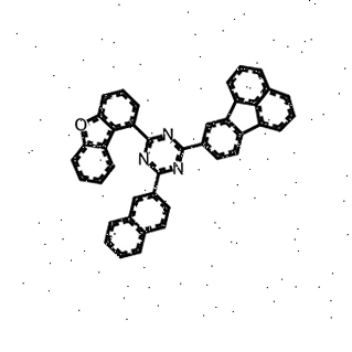 c1ccc2cc(-c3nc(-c4ccc5c(c4)-c4cccc6cccc-5c46)nc(-c4cccc5oc6ccccc6c45)n3)ccc2c1